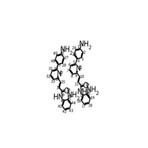 Nc1ccc(-c2cccc(C=CC(=O)Nc3ccccc3N)n2)cc1.Nc1ccc(-c2cccc(C=CC(=O)Nc3ccccc3N)n2)cc1